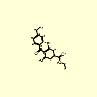 CCOC(=O)C1CC(=O)C(C(=O)c2ccc(CC)cc2)=C(F)C1